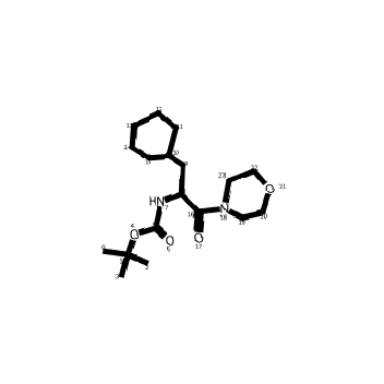 CC(C)(C)OC(=O)NC(CC1CCCCC1)C(=O)N1CCOCC1